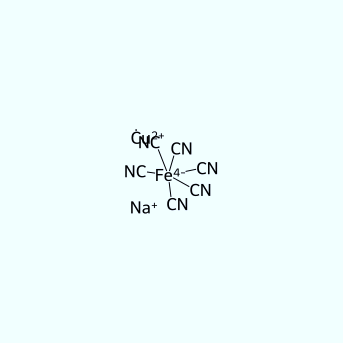 N#[C][Fe-4]([C]#N)([C]#N)([C]#N)([C]#N)[C]#N.[Cu+2].[Na+]